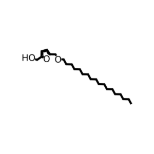 CCCCCCCCCCCCCCCCCCOCc1ccc(CO)o1